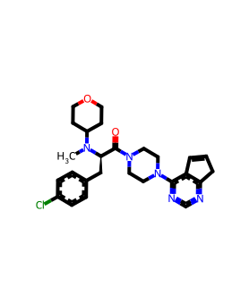 CN(C1CCOCC1)[C@H](Cc1ccc(Cl)cc1)C(=O)N1CCN(c2ncnc3c2C=CC3)CC1